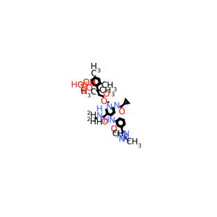 [2H]C([2H])([2H])NC(=O)c1cn(COC(=O)CC(C)(C)c2c(C)cc(C)cc2OP(=O)(O)O)c(=NC(=O)C2CC2)cc1Nc1cccc(-c2nnn(C)n2)c1OC